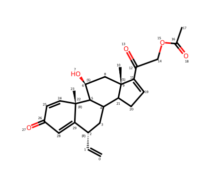 C=C[C@H]1CC2C([C@@H](O)C[C@]3(C)C(C(=O)COC(C)=O)=CCC23)[C@@]2(C)C=CC(=O)C=C12